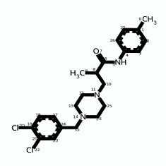 Cc1ccc(NC(=O)C(C)CN2CCN(Cc3ccc(Cl)c(Cl)c3)CC2)cc1